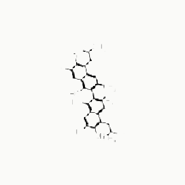 Cc1cc2c(CC(C)C)c(O)c(O)cc2c(O)c1-c1c(C)cc2c(CC(C)C)c(O)c(O)cc2c1O